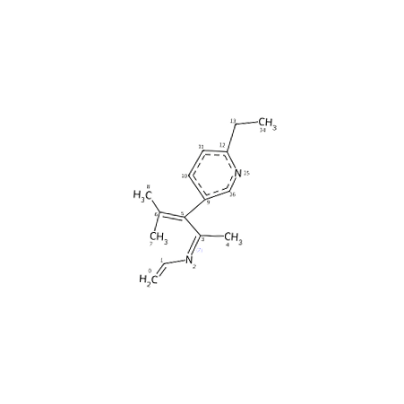 C=C/N=C(/C)C(=C(C)C)c1ccc(CC)nc1